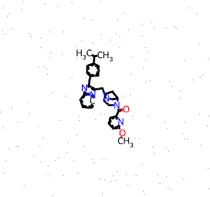 COc1cccc(C(=O)N2CC3CCC2CN3Cc2c(-c3ccc(C(C)C)cc3)nc3ccccn23)n1